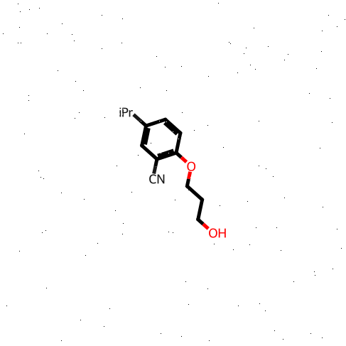 CC(C)c1ccc(OCCCO)c(C#N)c1